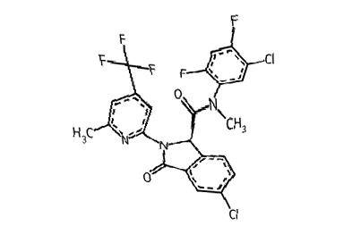 Cc1cc(C(F)(F)F)cc(N2C(=O)c3cc(Cl)ccc3[C@@H]2C(=O)N(C)c2cc(Cl)c(F)cc2F)n1